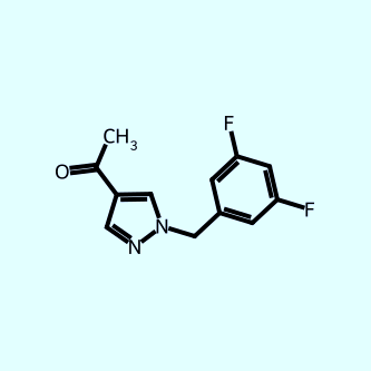 CC(=O)c1cnn(Cc2cc(F)cc(F)c2)c1